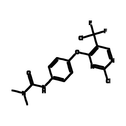 CN(C)C(=O)Nc1ccc(Oc2nc(Cl)ncc2C(F)(F)Cl)cc1